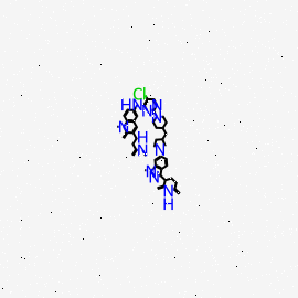 C=C(CCC1=Cc2cc(Nc3nc(N4CCC(CC5CCN(c6ccc7c(C8CCC(=C)NC8=C)nn(C)c7c6)C5)CC4)ncc3Cl)ccc2N(C)C1=C)NC